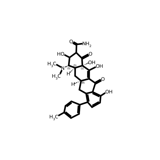 Cc1ccc(-c2ccc(O)c3c2C[C@H]2C[C@H]4[C@H](N(C)C)C(O)C(C(N)=O)C(=O)[C@@]4(O)C(O)=C2C3=O)cc1